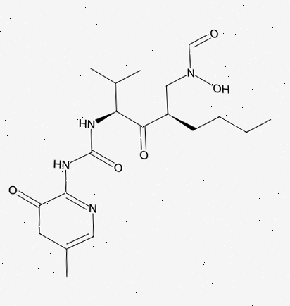 CCCC[C@H](CN(O)C=O)C(=O)[C@@H](NC(=O)NC1=NC=C(C)CC1=O)C(C)C